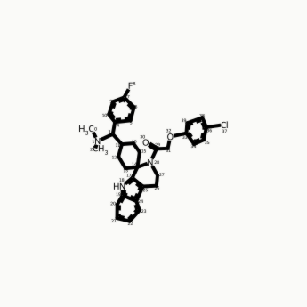 CN(C)C(c1ccc(F)cc1)C1CCC2(CC1)c1[nH]c3ccccc3c1CCN2C(=O)COc1ccc(Cl)cc1